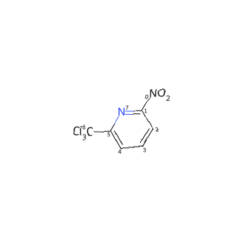 O=[N+]([O-])c1cccc(C(Cl)(Cl)Cl)n1